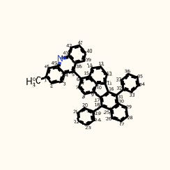 Cc1ccc2c(-c3ccc4c5c(cccc35)-c3c-4c(-c4ccccc4)c4ccccc4c3-c3ccccc3)c3ccccc3nc2c1